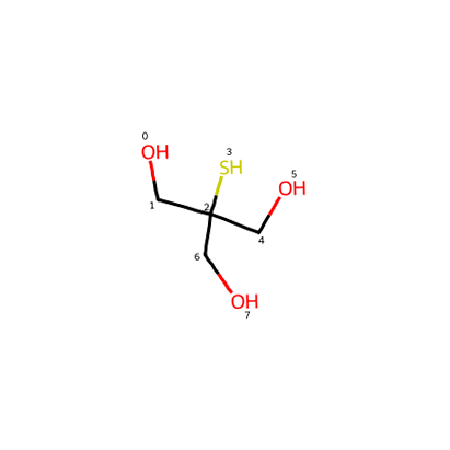 OCC(S)(CO)CO